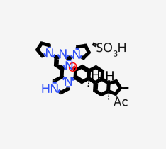 CC(=O)[C@H]1[C@H](C)C[C@H]2[C@@H]3CCC4=CC(=O)C(N5CCNCC5c5cc(N6CCCC6)nc(N6CCCC6)n5)=C[C@]4(C)C3=CC[C@@]21C.CS(=O)(=O)O